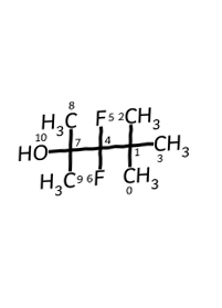 CC(C)(C)C(F)(F)C(C)(C)O